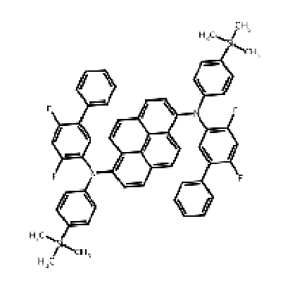 C[Si](C)(C)c1ccc(N(c2cc(-c3ccccc3)c(F)cc2F)c2ccc3ccc4c(N(c5ccc([Si](C)(C)C)cc5)c5cc(-c6ccccc6)c(F)cc5F)ccc5ccc2c3c54)cc1